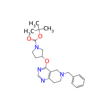 CC(C)(C)OC(=O)N1CCC(Oc2ncnc3c2CN(Cc2ccccc2)CC3)C1